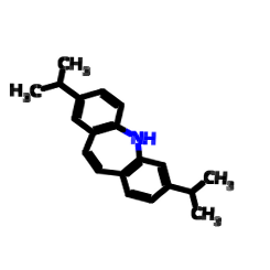 CC(C)c1ccc2c(c1)C=Cc1ccc(C(C)C)cc1N2